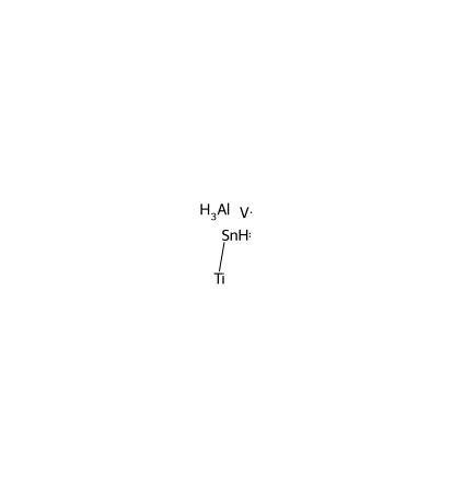 [AlH3].[Ti][SnH].[V]